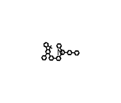 CC1(C)c2ccccc2-c2cc(-c3ccccc3)c(-c3cccc(-c4cccc(-c5cc(-c6ccc(-c7ccccc7)cc6)cc(-c6ccccc6)n5)c4)c3)cc21